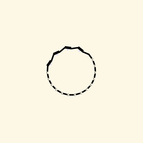 [C]1=C/C=C/C=C/C=C/CCCCCCCCCCCCCCC/1